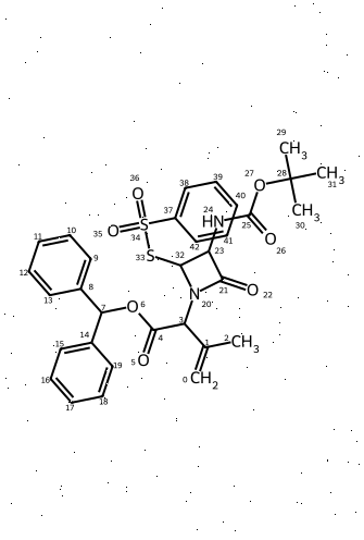 C=C(C)C(C(=O)OC(c1ccccc1)c1ccccc1)N1C(=O)C(NC(=O)OC(C)(C)C)C1SS(=O)(=O)c1ccccc1